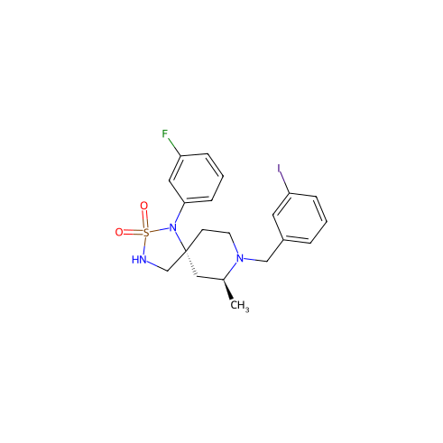 C[C@H]1C[C@]2(CCN1Cc1cccc(I)c1)CNS(=O)(=O)N2c1cccc(F)c1